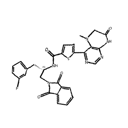 CN1CC(=O)Nc2ncnc(-c3ccc(C(=O)N[C@@H](Cc4cccc(F)c4)CN4C(=O)c5ccccc5C4=O)s3)c21